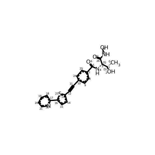 C[C@H](O)[C@H](NC(=O)c1ccc(C#Cc2ccc(-c3ccccn3)s2)cc1)C(=O)NO